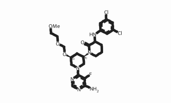 COCCOCO[C@H]1C[C@@H](N2CCCC(Nc3cc(Cl)cc(Cl)c3)C2=O)CN(c2ncnc(N)c2F)C1